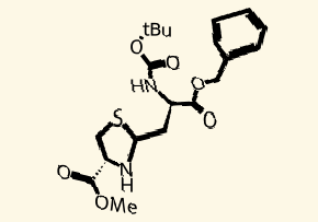 COC(=O)[C@@H]1CSC(C[C@@H](NC(=O)OC(C)(C)C)C(=O)OCc2ccccc2)N1